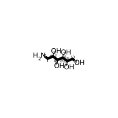 NC[C@H](O)[C@H](O)[C@H](O)[C@@H](O)CO